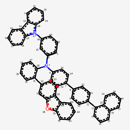 c1cc(N(c2ccc(-c3ccc(-c4cccc5ccccc45)cc3)cc2)c2ccccc2-c2ccc3c(c2)oc2ccccc23)cc(-n2c3ccccc3c3ccccc32)c1